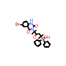 CC(C)(C(=O)CC(C)(C)[Si](O)(c1ccccc1)c1ccccc1)n1c(=O)[nH]c2ccc(Br)cc2c1=O